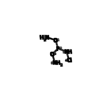 NOP(NCl)ON